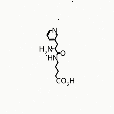 N[C@@H](Cc1cccnc1)C(=O)NCCCCC(=O)O